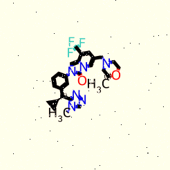 C[C@@H]1CN(Cc2cc(C(F)(F)F)c3cn(-c4cccc([C@@H](c5nncn5C)C5CC5)c4)c(=O)n3c2)CCO1